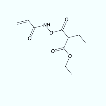 C=CC(=O)NOC(=O)C(CC)C(=O)OCC